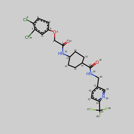 O=C(COc1ccc(Cl)c(Cl)c1)NC1CCC(C(=O)NCc2ccc(C(F)(F)F)nc2)CC1